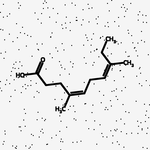 CCC(C)=CC/C=C(/C)CCC(=O)O